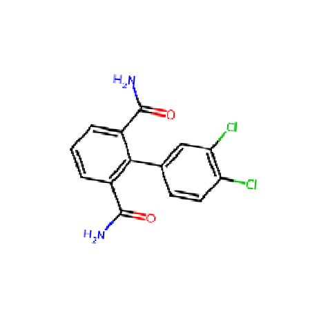 NC(=O)c1cccc(C(N)=O)c1-c1ccc(Cl)c(Cl)c1